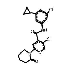 O=C(Nc1cc(Cl)cc(C2CC2)c1)c1cc(N2CCCCC2=O)ncc1Cl